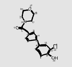 O=C(c1ccc(-c2ccc(O)c(Cl)c2)cc1)N1CCOCC1